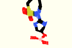 O=S1(=O)CCCCN1c1ncc(OB(O)O)cn1